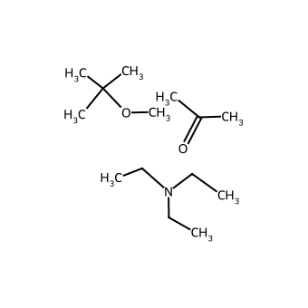 CC(C)=O.CCN(CC)CC.COC(C)(C)C